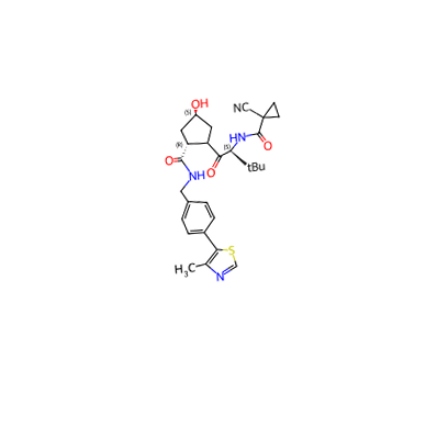 Cc1ncsc1-c1ccc(CNC(=O)[C@@H]2C[C@@H](O)CC2C(=O)[C@@H](NC(=O)C2(C#N)CC2)C(C)(C)C)cc1